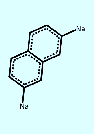 [Na][c]1ccc2cc[c]([Na])cc2c1